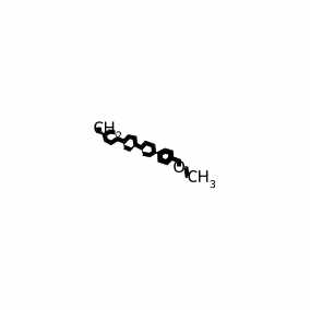 C=C[C@H]1CC[C@H]([C@H]2CC[C@H]([C@H]3CC[C@H](c4ccc(COCCC)cc4)CC3)CC2)CC1